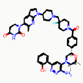 Cc1nc2c(ccn2C2CCN(CC3(F)CCN(C(=O)c4ccc([C@H]5CN(c6cc(-c7ccccc7O)nnc6N)[C@@H](C)[C@@H](C)O5)cc4)CC3)CC2)cc1N1CCC(=O)NC1=O